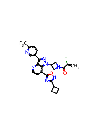 C=C(F)C(=O)N1CC(n2nc(-c3ccc(C(F)(F)F)nc3)c3nccc(-c4nc(C5CCC5)no4)c32)C1